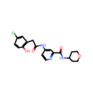 O=C(Cc1cc(Cl)ccc1O)Nc1ccnc(C(=O)NC2CCOCC2)c1